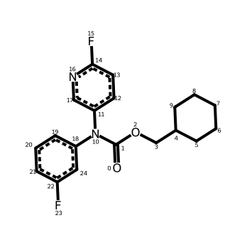 O=C(OCC1CCCCC1)N(c1ccc(F)nc1)c1cccc(F)c1